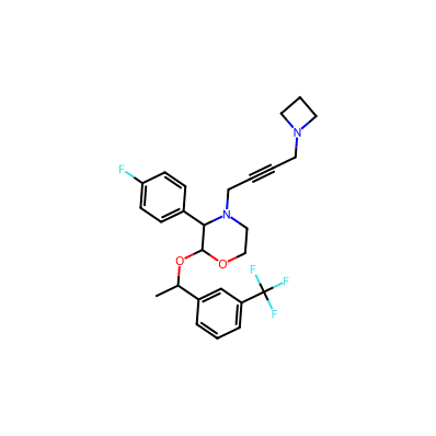 CC(OC1OCCN(CC#CCN2CCC2)C1c1ccc(F)cc1)c1cccc(C(F)(F)F)c1